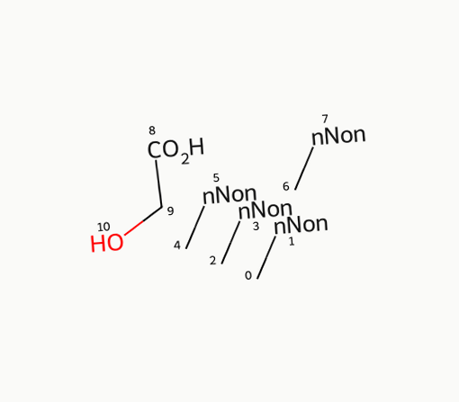 CCCCCCCCCC.CCCCCCCCCC.CCCCCCCCCC.CCCCCCCCCC.O=C(O)CO